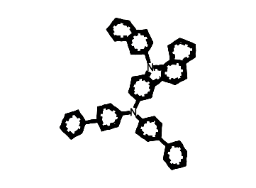 c1ccc(-c2ccc(N(c3ccc(-c4ccccc4)cc3)c3ccc4c(c3)c3ccc5ccccc5c3n4-c3ccc4ccccc4c3)cc2)cc1